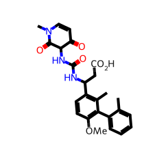 COc1ccc(C(CC(=O)O)NC(=O)NC2C(=O)C=CN(C)C2=O)c(C)c1-c1ccccc1C